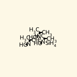 CC(C)=NO.CC(C)=NO.CC(C)=NO.[SiH4]